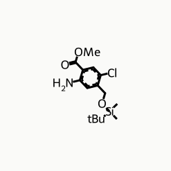 COC(=O)c1cc(Cl)c(CO[Si](C)(C)C(C)(C)C)cc1N